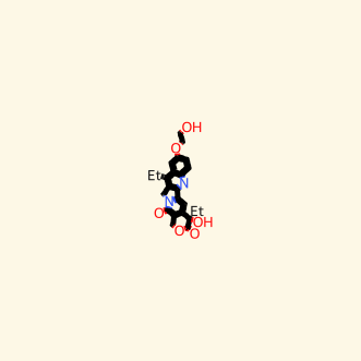 CCc1c2c(nc3ccc(OCCO)cc13)-c1cc3c(c(=O)n1C2)COC(=O)[C@]3(O)CC